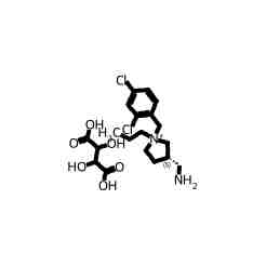 CCC[N+]1(Cc2ccc(Cl)cc2Cl)CC[C@@H](CN)C1.O=C(O)C(O)C(O)C(=O)O